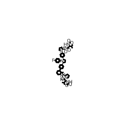 COC(=O)N[C@H](C(=O)NC(=O)[C@@H]1CCCN1c1ccc([C@@H]2CC[C@@H](c3ccc(C4=CC=CC5NN([C@H]6CCCN6C(=O)[C@@H](NC(=O)OC)C(C)C)C=C45)cc3)N2c2ccc(F)cc2)cc1)C(C)C